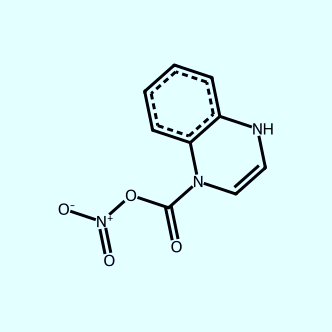 O=C(O[N+](=O)[O-])N1C=CNc2ccccc21